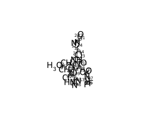 CC(C)(C)CCNC(=N)N(C(=O)c1ccc(-c2cnn(C3COC3)c2)cc1)[C@H](COC(=O)N1CC(F)(F)C1)c1ccc(Cl)c(-c2ncn[nH]2)c1